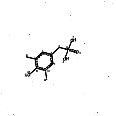 Cc1cc(CP(=O)(O)O)cc(C)c1O